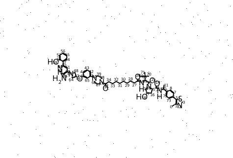 Cc1ncsc1-c1ccc(C(C)NC(=O)[C@@H]2C[C@@H](O)CN2C(=O)C(NC(=O)CCCCCCCCC(=O)N2CCN(c3cccc(OC4CN(c5cc(-c6ccccc6O)nnc5N)C4)c3)CC2)C(C)(C)C)cc1